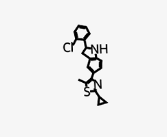 Cc1sc(C2CC2)nc1-c1ccc2c(c1)CC(c1ccccc1Cl)N2